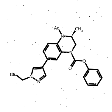 CC(=O)N1c2ccc(-c3cnn(CC(C)(C)C)c3)cc2N(C(=O)Oc2ccccc2)C[C@@H]1C